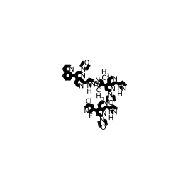 Cc1noc(C)c1-c1cc(N2CCOCC2)nc2c(-c3ccn[nH]3)nccc12.Fc1ncc(Cl)cc1-c1cc(N2CCOCC2)nc2c(-c3ccn[nH]3)nccc12.c1cnc2c(-c3cc(N4CCOCC4)nc4c(-c5ccn[nH]5)nccc34)cccc2c1